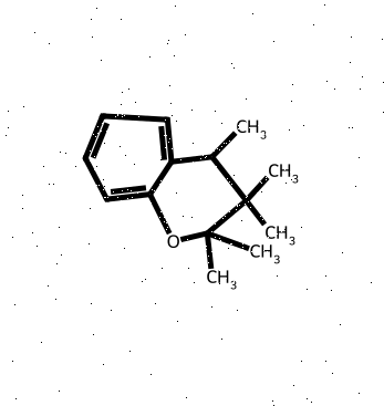 CC1c2ccccc2OC(C)(C)C1(C)C